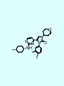 Cc1cc(-n2c(-c3ccnc(N[C@H]4CC[C@H](C)CC4)n3)cn(C3CCOCC3)c2=O)ccc1F